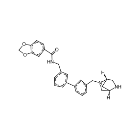 O=C(NCc1cccc(-c2cccc(CN3C[C@@H]4C[C@H]3CN4)c2)c1)c1ccc2c(c1)OCO2